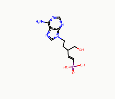 Nc1ncnc2c1ncn2CCC(C=CP(=O)(O)O)CO